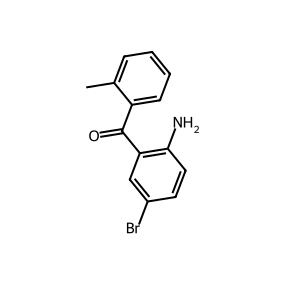 Cc1ccccc1C(=O)c1cc(Br)ccc1N